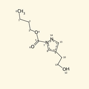 CCCCOC(=O)n1cc(CCO)cn1